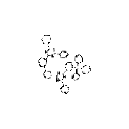 c1ccc(-c2nc(-c3ccccc3)nc(-c3cccc(-c4cccc(-c5nc(-c6ccccc6)nc(-c6cccc([Si](c7ccccc7)(c7ccccc7)c7ccccc7)c6)n5)c4)c3)n2)cc1